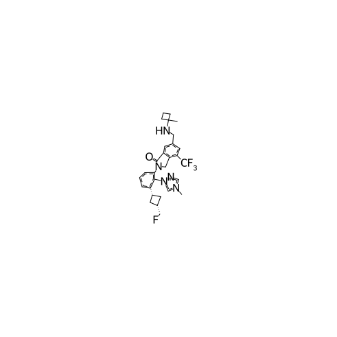 Cn1cn[n+](-c2c(N3Cc4c(cc(CNC5(C)CCC5)cc4C(F)(F)F)C3=O)cccc2[C@H]2C[C@@H](CF)C2)c1